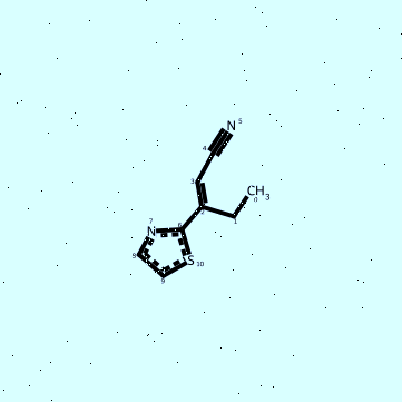 CCC(=CC#N)c1nccs1